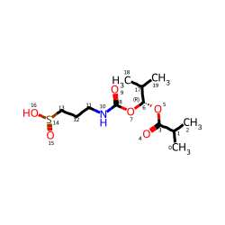 CC(C)C(=O)O[C@H](OC(=O)NCCCS(=O)O)C(C)C